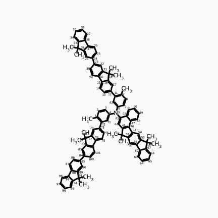 Cc1ccc(N(c2ccc(C)c(-c3ccc4c(c3)C(C)(C)c3cc(-c5ccc6c(c5)C(C)(C)c5ccccc5-6)ccc3-4)c2)c2cc3c(c4ccccc24)-c2cc4c(cc2C3(C)C)-c2ccccc2C4(C)C)cc1-c1ccc2c(c1)C(C)(C)c1cc(-c3ccc4c(c3)C(C)(C)c3ccccc3-4)ccc1-2